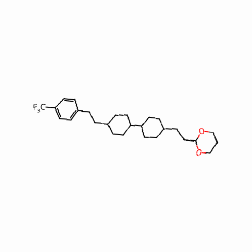 FC(F)(F)c1ccc(CCC2CCC(C3CCC(CCC4OCCCO4)CC3)CC2)cc1